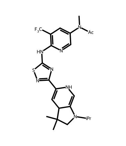 CC(=O)N(C)c1cnc(Nc2nc(C3=CC4C(=CN3)N(C(C)C)CC4(C)C)ns2)c(C(F)(F)F)c1